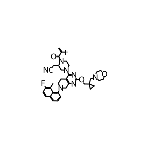 C=C(F)C(=O)N1CCN(c2nc(OCC3(CN4CCOCC4)CC3)nc3c2CCN(c2cccc4ccc(F)c(C)c24)C3)CC1CC#N